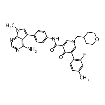 Cc1ccc(-c2cn(CC3CCOCC3)cc(C(=O)Nc3ccc(-c4cn(C)c5ncnc(N)c45)cc3)c2=O)c(F)c1